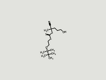 CC(C#N)(CCCO)SC(=S)SCCO[Si](C)(C)C(C)(C)C